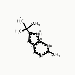 Cc1ncc2cc(C(C)(C)C)[nH]c2n1